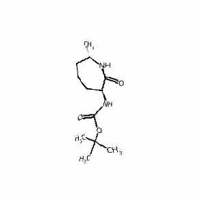 C[C@H]1CCC[C@H](NC(=O)OC(C)(C)C)C(=O)N1